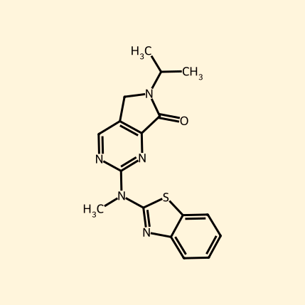 CC(C)N1Cc2cnc(N(C)c3nc4ccccc4s3)nc2C1=O